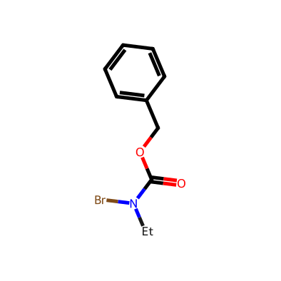 CCN(Br)C(=O)OCc1ccccc1